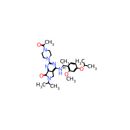 COc1cc(OC(C)C)ccc1[C@@H](C)Nc1nc(N2CCN(C(C)=O)CC2)nc2c1CN(C(C)C)C2=O